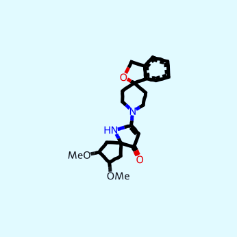 COC1CC2(CC1OC)NC(N1CCC3(CC1)OCc1ccccc13)=CC2=O